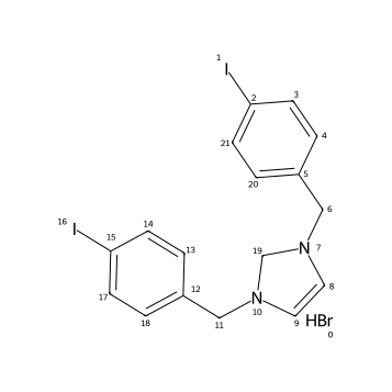 Br.Ic1ccc(CN2C=CN(Cc3ccc(I)cc3)C2)cc1